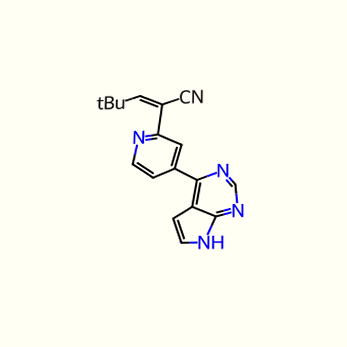 CC(C)(C)/C=C(/C#N)c1cc(-c2ncnc3[nH]ccc23)ccn1